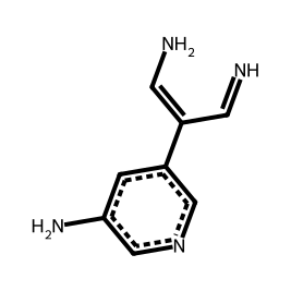 N=C/C(=C\N)c1cncc(N)c1